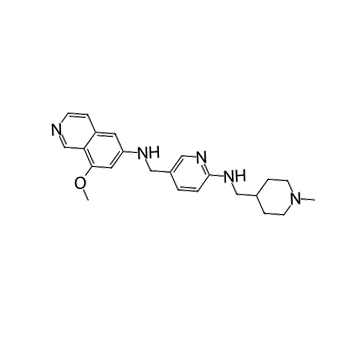 COc1cc(NCc2ccc(NCC3CCN(C)CC3)nc2)cc2ccncc12